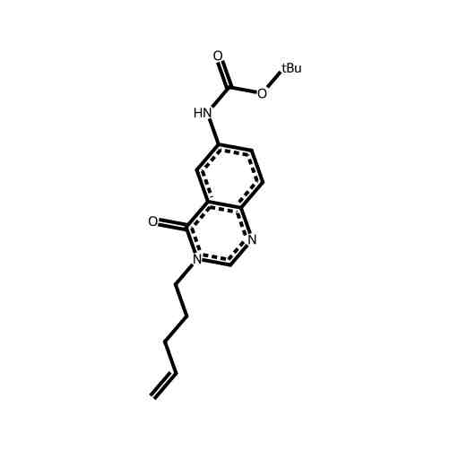 C=CCCCn1cnc2ccc(NC(=O)OC(C)(C)C)cc2c1=O